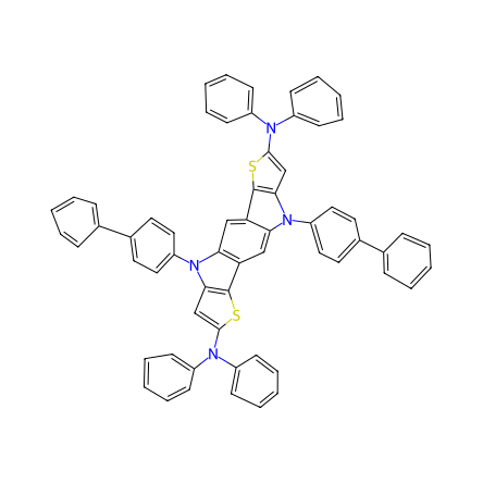 c1ccc(-c2ccc(-n3c4cc5c6sc(N(c7ccccc7)c7ccccc7)cc6n(-c6ccc(-c7ccccc7)cc6)c5cc4c4sc(N(c5ccccc5)c5ccccc5)cc43)cc2)cc1